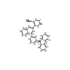 N#Cc1ccncc1-c1cc(-c2cccc(-n3c4ccccc4c4ccccc43)c2)c2ccccc2c1